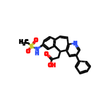 CS(=O)(=O)Nc1ccc2c(c1)C(CC(=O)O)c1cc(-c3ccccc3)cnc1C=C2